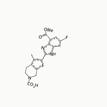 COC(=O)c1cc(F)cc2[nH]c(-c3sc4c(c3C)CCN(C(=O)O)C4)nc12